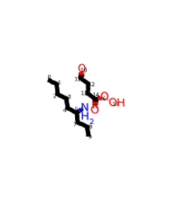 CCCCCC(N)CCC.O=CCCC(=O)OO